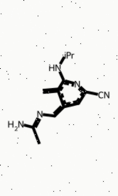 C=c1c(NC(C)C)nc(C#N)c/c1=C/N=C(\C)N